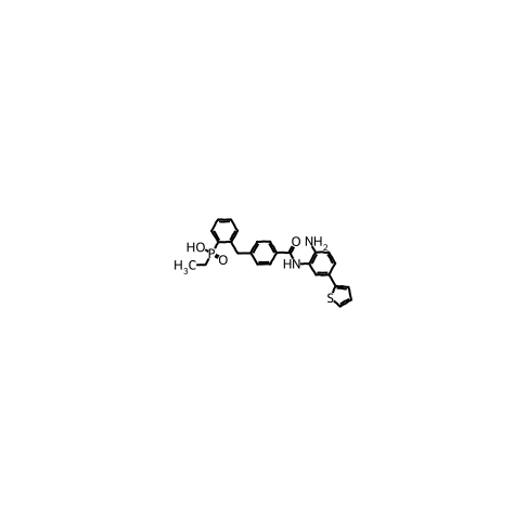 CCP(=O)(O)c1ccccc1Cc1ccc(C(=O)Nc2cc(-c3cccs3)ccc2N)cc1